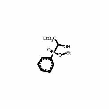 CCOC(=O)C(O)P(=O)(OCC)c1ccccc1